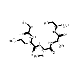 CC(C)C[C@H](NC(=O)[C@@H](NC(=O)[C@H](CC(C)C)NC(=O)[C@H](CCC(=O)O)NC(=O)CN)C(C)C)C(=O)O